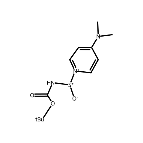 CN(C)c1cc[n+]([S+]([O-])NC(=O)OC(C)(C)C)cc1